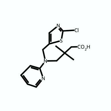 CC(C)(CC(=O)O)CN(Cc1cnc(Cl)s1)c1ccccn1